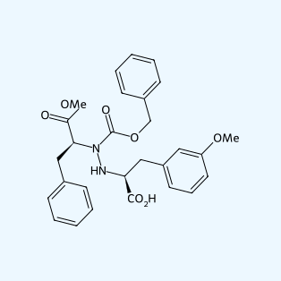 COC(=O)[C@H](Cc1ccccc1)N(N[C@@H](Cc1cccc(OC)c1)C(=O)O)C(=O)OCc1ccccc1